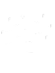 CCc1c(F)c(F)c([O])c(-c2cc(F)c(F)c(F)c2)c1-c1ccc(C)cc1